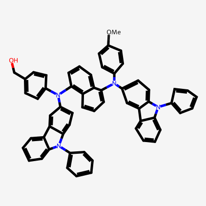 COc1ccc(N(c2ccc3c(c2)c2ccccc2n3-c2ccccc2)c2cccc3c(N(c4ccc(CO)cc4)c4ccc5c(c4)c4ccccc4n5-c4ccccc4)cccc23)cc1